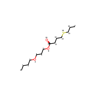 CCCCOCCCOC(=O)CCCSCCC